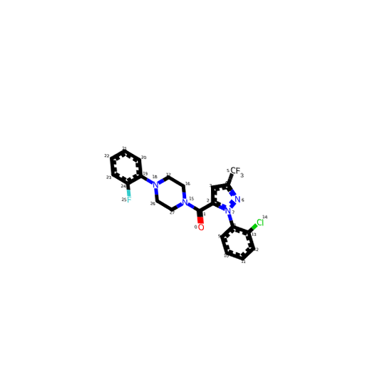 O=C(c1cc(C(F)(F)F)nn1-c1ccccc1Cl)N1CCN(c2ccccc2F)CC1